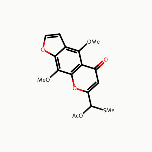 COc1c2occc2c(OC)c2c(=O)cc(C(OC(C)=O)SC)oc12